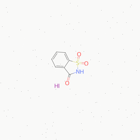 I.O=C1NS(=O)(=O)c2ccccc21